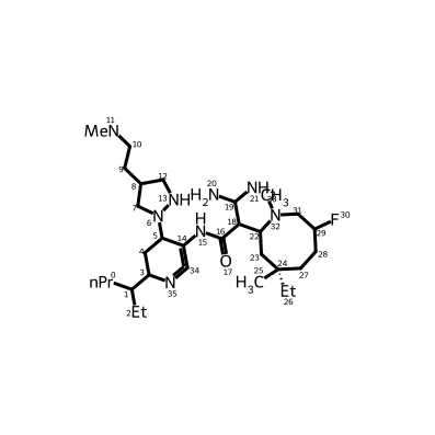 CCCC(CC)C1CC(N2CC(CCNC)CN2)C(NC(=O)C(C(N)N)C2C[C@@](C)(CC)CCC(F)CN2C)=C=N1